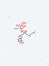 CC(=O)O.CCCCCC(CC)C(O)C(O)CO.Cc1c(C)c2c(c(C)c1O)CC[C@@](C)(CCCC(C)CCCC(C)CCCC(C)C)O2